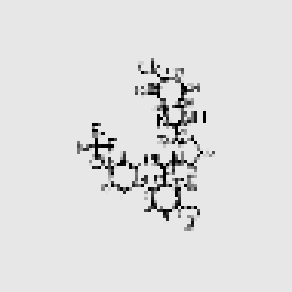 COc1ccc(-c2ccc(OC(F)(F)F)cc2)c(C(=O)N2CCC[C@@]2(C)c2nc3c(C)c(Cl)ccc3[nH]2)c1F